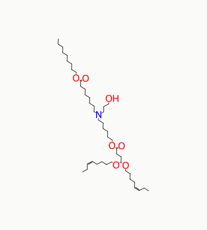 CC/C=C\CCCCOC(CCC(=O)OCCCCCCN(CCCO)CCCCCCCC(=O)OCCCCCCCCC)OCCCC/C=C\CC